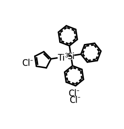 C1=CC[C]([Ti+3][Si](c2ccccc2)(c2ccccc2)c2ccccc2)=C1.[Cl-].[Cl-].[Cl-]